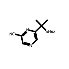 CCCCCCC(C)(C)c1cncc(C#N)n1